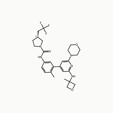 Cc1ccc(NC(=O)N2CC[C@@H](CC(F)(F)F)C2)cc1-c1cc(NC2(C)COC2)nc(N2CCOCC2)c1